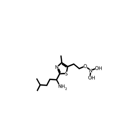 Cc1nc(C(N)CCC(C)C)sc1CCON(O)O